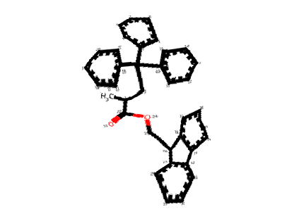 CC(CC(c1ccccc1)(c1ccccc1)c1ccccc1)C(=O)OCC1c2ccccc2-c2ccccc21